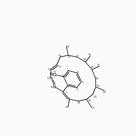 C\C1=C(c2ccccc2O)/N=N\C=C\CC(C)CC(C)C(C)CC(C)CC(C)C1